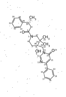 C[C@H](CC(=O)N1CC[C@](O)(Cn2cnc(-c3ccccc3)cc2=O)C(C)(C)C1)c1ccccc1